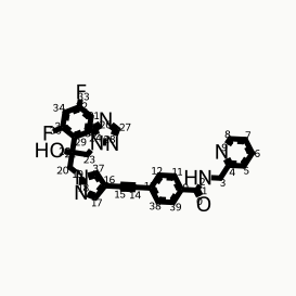 O=C(NCc1ccccn1)c1ccc(C#Cc2cnn(CC(O)(Cn3cncn3)c3ccc(F)cc3F)c2)cc1